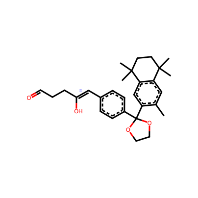 Cc1cc2c(cc1C1(c3ccc(/C=C(\O)CCC=O)cc3)OCCO1)C(C)(C)CCC2(C)C